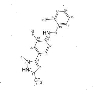 CN1NC(C(F)(F)F)C=C1c1ccc(NCc2ccccc2F)c(F)c1